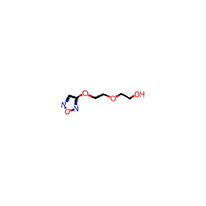 OCCOCCOc1cnon1